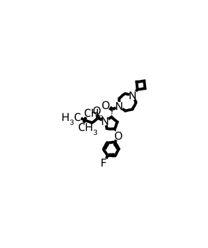 CC(C)(C)CC(=O)N1C[C@@H](Oc2ccc(F)cc2)C[C@H]1C(=O)N1CCCN(C2CCC2)CC1